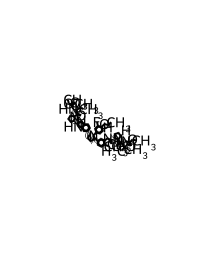 C=C(Nc1cc([C@H]2CC[C@H](c3ccc4nc([C@@H]5CCCN5C(=O)[C@@H](NC(=O)OC)C(C)C)[nH]c4c3)N2c2ccc(OCC)c(F)c2)ccc1C)[C@@H]1CCCN1C(=O)[C@@H](NC(=O)OC)C(C)C